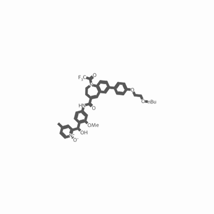 CCCCOCCOc1ccc(-c2ccc3c(c2)C=C(C(=O)Nc2ccc(C(O)c4cc(C)cc[n+]4[O-])c(OC)c2)CCN3C(=O)C(F)(F)F)cc1